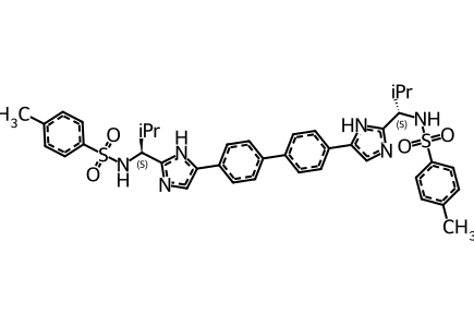 Cc1ccc(S(=O)(=O)N[C@H](c2ncc(-c3ccc(-c4ccc(-c5cnc([C@@H](NS(=O)(=O)c6ccc(C)cc6)C(C)C)[nH]5)cc4)cc3)[nH]2)C(C)C)cc1